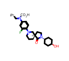 CC(C)CN(C(=O)O)c1ccc(N2CCC[C@]3(CCN([C@H]4CC[C@H](O)CC4)C3=O)C2)c(F)c1